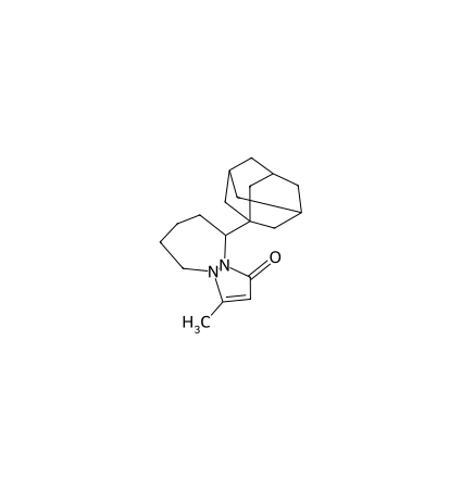 Cc1cc(=O)n2n1CCCCC2C12CC3CC(CC(C3)C1)C2